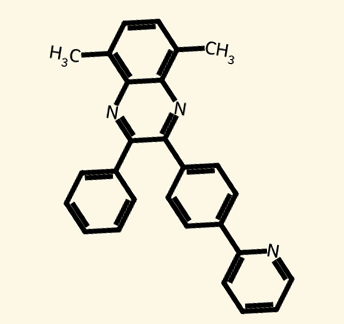 Cc1ccc(C)c2nc(-c3ccc(-c4ccccn4)cc3)c(-c3ccccc3)nc12